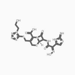 N=c1[nH]c(/C(=N/O)C(=O)NC2C(=O)N3C(C(=O)O)=C(CSc4nnnn4CCO)CS[C@H]23)cs1